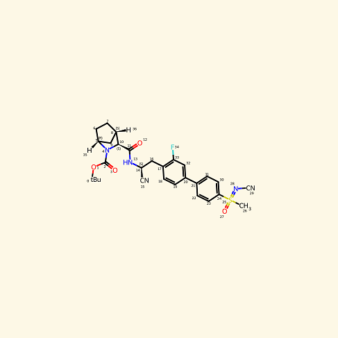 CC(C)(C)OC(=O)N1[C@@H]2CC[C@@H](C2)[C@H]1C(=O)N[C@H](C#N)Cc1ccc(-c2ccc(S(C)(=O)=NC#N)cc2)cc1F